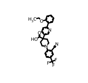 CCOc1ccccc1-c1ccc(C2(C(=O)O)CCN(c3ccc(C(F)(F)F)cc3C#N)CC2)cn1